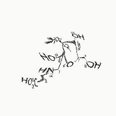 O=C(O)CNCC1(O)O[C@H](CO)[C@@H](O)[C@@H]1O